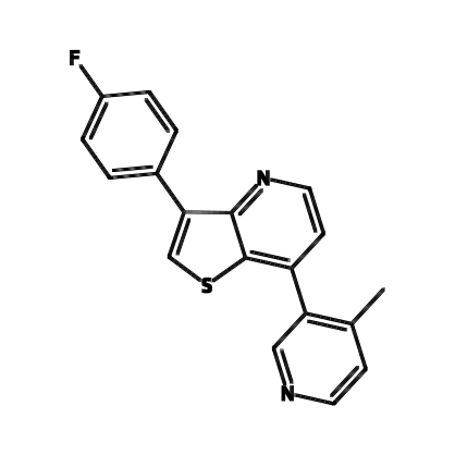 Cc1ccncc1-c1ccnc2c(-c3ccc(F)cc3)csc12